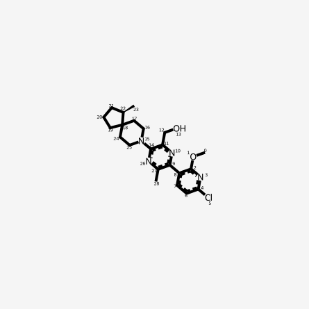 COc1nc(Cl)ccc1-c1nc(CO)c(N2CCC3(CCC[C@H]3C)CC2)nc1C